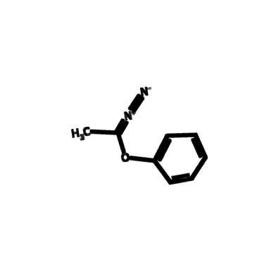 CC(=[N+]=[N-])Oc1ccccc1